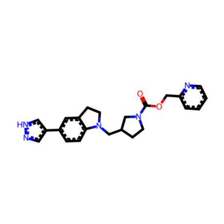 O=C(OCc1ccccn1)N1CCC(CN2CCc3cc(-c4cn[nH]c4)ccc32)C1